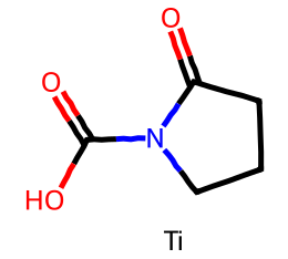 O=C(O)N1CCCC1=O.[Ti]